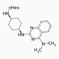 CCCCCCN[C@H]1CC[C@@H](Nc2nc(N(C)C)c3ccccc3n2)CC1